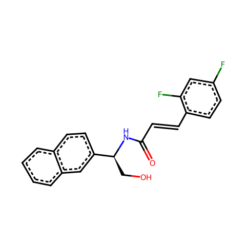 O=C(/C=C/c1ccc(F)cc1F)N[C@@H](CO)c1ccc2ccccc2c1